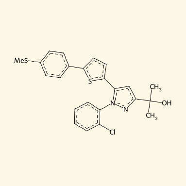 CSc1ccc(-c2ccc(-c3cc(C(C)(C)O)nn3-c3ccccc3Cl)s2)cc1